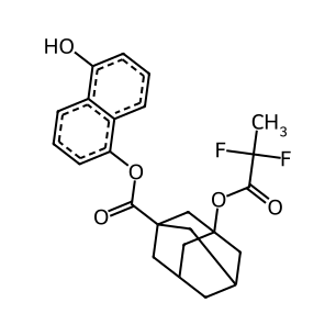 CC(F)(F)C(=O)OC12CC3CC(C1)CC(C(=O)Oc1cccc4c(O)cccc14)(C3)C2